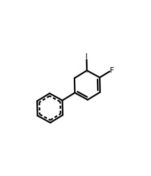 FC1=CC=C(c2ccccc2)C[C]1I